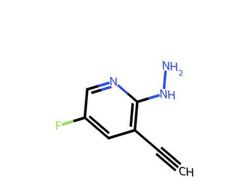 C#Cc1cc(F)cnc1NN